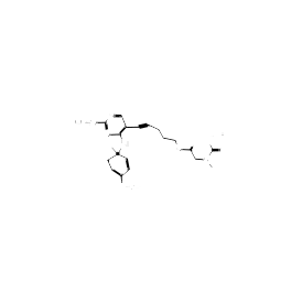 CNc1ncc(C#CCCCNC(=O)CN(C)C(=O)OC(C)(C)C)c(NC2(C)C=CC(OC)=CC2)n1